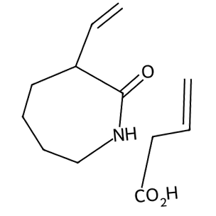 C=CC1CCCCNC1=O.C=CCC(=O)O